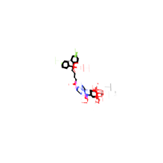 COc1cc(C(=O)N2CCN(C(=O)CCCCC(O)(c3ccc(F)cc3)c3ccc(F)cc3)CC2)cc(OC)c1OC